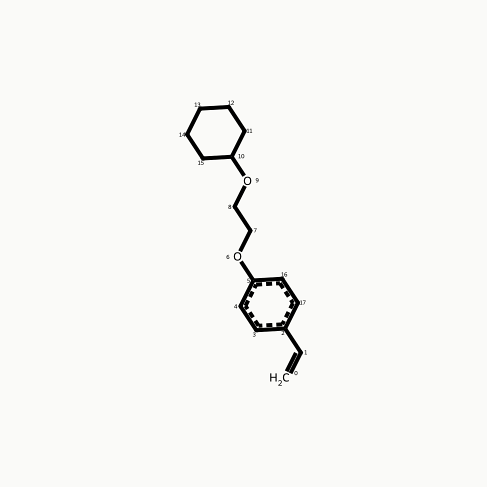 C=Cc1ccc(OCCOC2CCCCC2)cc1